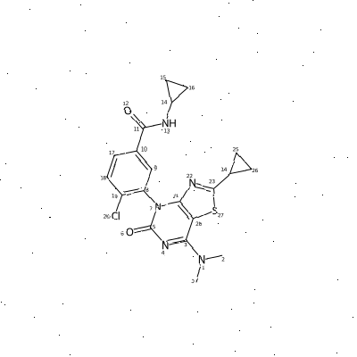 CN(C)c1nc(=O)n(-c2cc(C(=O)NC3CC3)ccc2Cl)c2nc(C3CC3)sc12